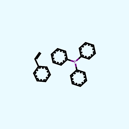 C=Cc1ccccc1.c1ccc(P(c2ccccc2)c2ccccc2)cc1